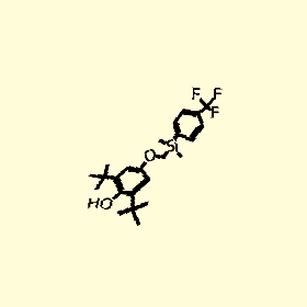 CC(C)(C)c1cc(OC[Si](C)(C)c2ccc(C(F)(F)F)cc2)cc(C(C)(C)C)c1O